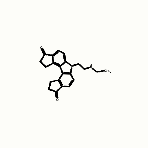 CCNCCn1c2ccc3c(c2c2c4c(ccc21)C(=O)CC4)CCC3=O